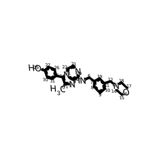 Cc1nc2c(NCc3cccc(CN4CCOCC4)c3)nccn2c1-c1ccc(O)cc1